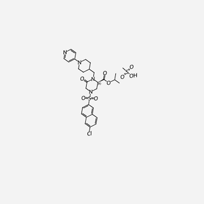 CC(C)OC(=O)[C@H]1CN(S(=O)(=O)c2ccc3cc(Cl)ccc3c2)CC(=O)N1CC1CCN(c2ccncc2)CC1.CS(=O)(=O)O